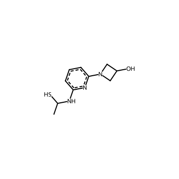 CC(S)Nc1cccc(N2CC(O)C2)n1